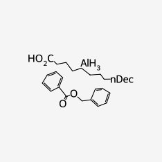 CCCCCCCCCCCCCCCCCC(=O)O.O=C(OCc1ccccc1)c1ccccc1.[AlH3]